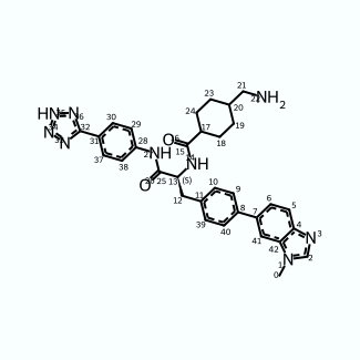 Cn1cnc2ccc(-c3ccc(C[C@H](NC(=O)C4CCC(CN)CC4)C(=O)Nc4ccc(-c5nn[nH]n5)cc4)cc3)cc21